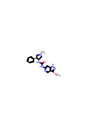 COc1n[nH]c2cc(NC(=O)N[C@H]3CN(C)C[C@@H]3c3ccccc3)ncc12